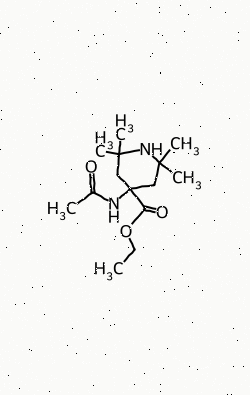 CCOC(=O)C1(NC(C)=O)CC(C)(C)NC(C)(C)C1